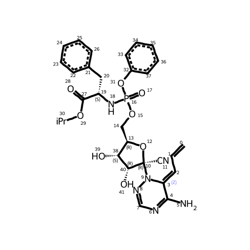 C=C/C=C1/C(N)=NC=NN1[C@]1(C#N)O[C@H](COP(=O)(N[C@@H](Cc2ccccc2)C(=O)OC(C)C)Oc2ccccc2)[C@@H](O)[C@H]1O